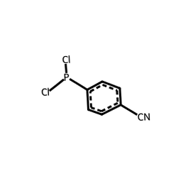 N#Cc1ccc(P(Cl)Cl)cc1